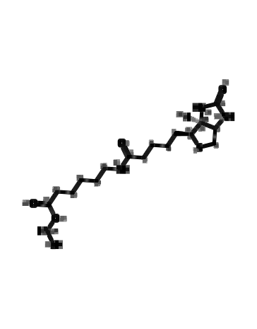 O=C(CCCC[C@@H]1SCC2NC(=O)N[C@@H]21)NCCCCCC(=O)ONS